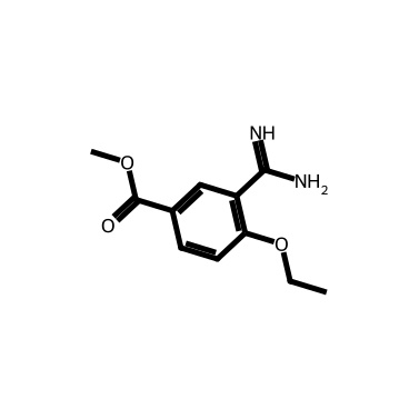 CCOc1ccc(C(=O)OC)cc1C(=N)N